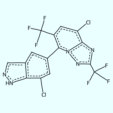 FC(F)(F)c1nc2c(Cl)cc(C(F)(F)F)c(-c3cc(Cl)c4[nH]ncc4c3)n2n1